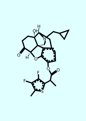 Cc1sc(C(C)C(=O)Oc2ccc3c4c2O[C@H]2C(=O)CC[C@@]5(O)[C@@H](C3)N(CC3CC3)CC[C@]425)c(F)c1F